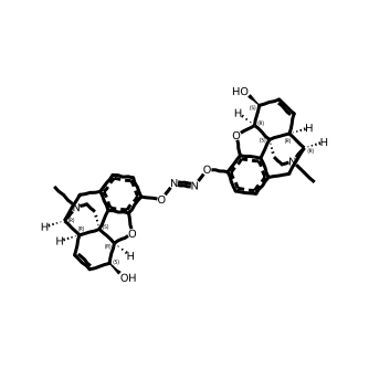 CN1CC[C@]23c4c5ccc(ON=NOc6ccc7c8c6O[C@H]6[C@@H](O)C=C[C@H]9[C@@H](C7)N(C)CC[C@@]896)c4O[C@H]2[C@@H](O)C=C[C@H]3[C@H]1C5